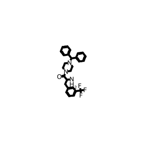 NC(Cc1cccc(C(F)(F)F)c1)C(=O)N1CCN(C(c2ccccc2)c2ccccc2)CC1